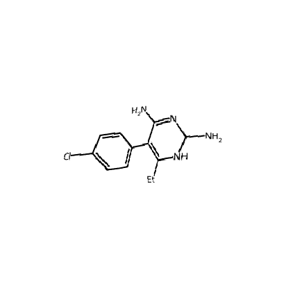 CCC1=C(c2ccc(Cl)cc2)C(N)=NC(N)N1